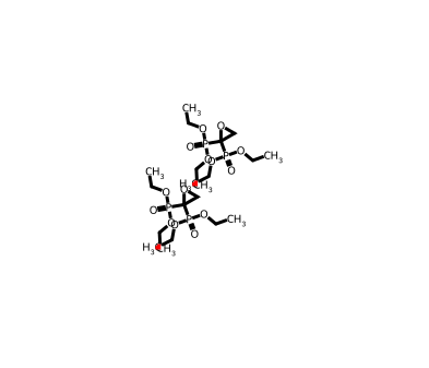 CCOP(=O)(OCC)C1(P(=O)(OCC)OCC)CO1.CCOP(=O)(OCC)C1(P(=O)(OCC)OCC)CO1